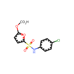 O=C(O)Oc1ccc(S(=O)(=O)Nc2ccc(Cl)cc2)o1